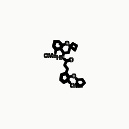 COc1cccc(CCC(=O)NC2CC3(CCC3)Oc3cccc(OC)c32)c1OC1CCCC1